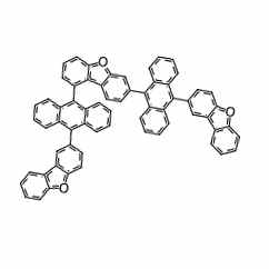 c1ccc2c(c1)oc1ccc(-c3c4ccccc4c(-c4ccc5c(c4)oc4cccc(-c6c7ccccc7c(-c7ccc8oc9ccccc9c8c7)c7ccccc67)c45)c4ccccc34)cc12